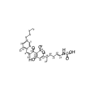 CCCCc1ccc(C=C(C)C(=O)c2c(O)cc(C(C)CCC=CNC(=O)O)oc2=O)c(C)c1